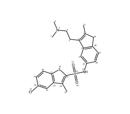 CC1=C(CCN(C)C)c2cc(NS(=O)(=O)c3sc4ccc(Cl)cc4c3C)ccc2C1